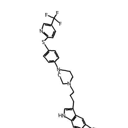 N#Cc1ccc2[nH]cc(CCCN3CCN(c4ccc(Sc5ccc(C(F)(F)F)cn5)cc4)CC3)c2c1